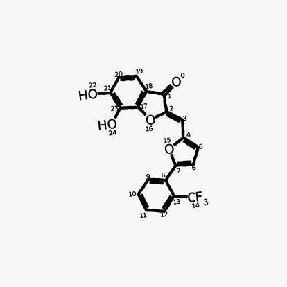 O=C1C(=Cc2ccc(-c3ccccc3C(F)(F)F)o2)Oc2c1ccc(O)c2O